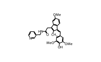 COc1ccc2c(c1)C(CC(=O)NCc1cccnc1)=C(C)C2=Cc1cc(OC)c(O)c(OC)c1